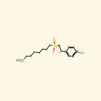 O=C(O)CCCCCCCS(=O)(=O)CCc1ccc(Cl)cc1